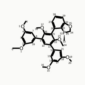 COc1cc(OC)cc(-c2cc(-c3cc(OC)cc(OC)c3)c(OC)c(-c3cccc4c3[P@](C)CO4)c2OC)c1